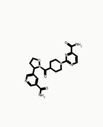 NC(=O)c1cncc(C2CCON2C(=O)C2CCN(c3nccc(C(N)=O)n3)CC2)c1